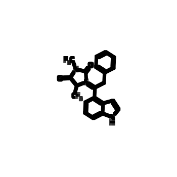 O=C1C(C(F)(F)F)S(=C(Cc2ccccc2)c2cccc3[nH]ccc23)C(=O)N1C(F)(F)F